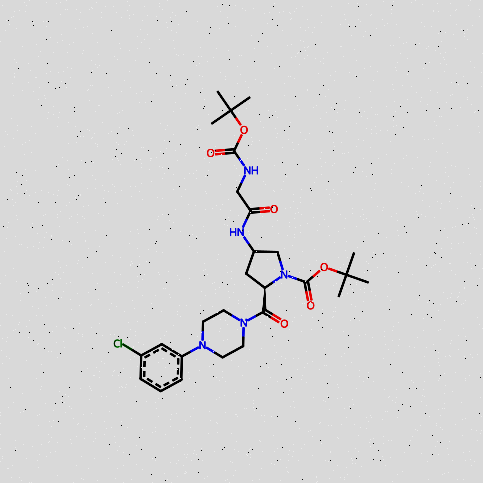 CC(C)(C)OC(=O)NCC(=O)NC1C[C@H](C(=O)N2CCN(c3cccc(Cl)c3)CC2)N(C(=O)OC(C)(C)C)C1